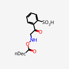 CCCCCCCCCCC(=O)ONCC(=O)c1ccccc1S(=O)(=O)O